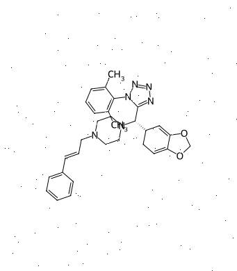 Cc1cccc(C)c1-n1nnnc1[C@H](C1C=C2OCOC2=CC1)N1CCN(C/C=C/c2ccccc2)CC1